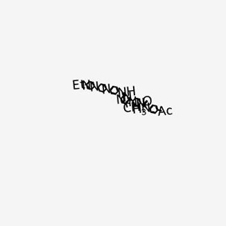 CCN1CCN(C2CCN(c3ccc(Nc4ncc(C)c(N5CCN(C(=O)Nc6ccc(C(C)=O)cc6)CC5)n4)cc3)CC2)CC1